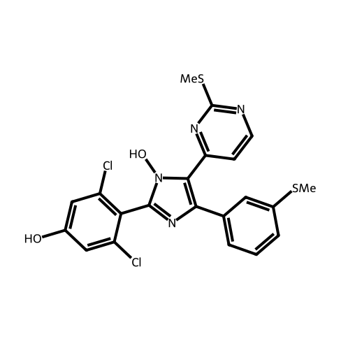 CSc1cccc(-c2nc(-c3c(Cl)cc(O)cc3Cl)n(O)c2-c2ccnc(SC)n2)c1